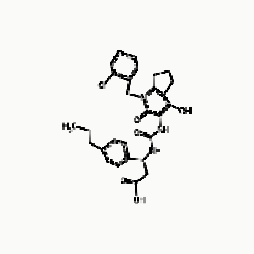 CCCc1ccc([C@H](CC(=O)O)NC(=O)Nc2c(O)c3c(n(Cc4ccccc4Cl)c2=O)CCC3)cc1